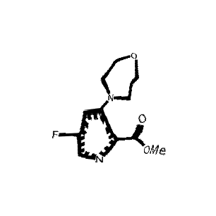 COC(=O)c1ncc(F)cc1N1CCOCC1